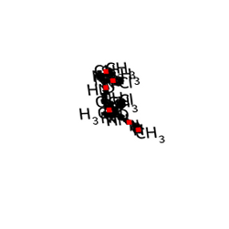 Cc1sc2c(c1C)C(c1ccc(Cl)cc1)=N[C@@H](CC(=O)NCCNC(=O)c1sc3c(c1C)C(c1ccc(Cl)cc1)=N[C@@H](CC(=O)NCCCN1CCN(C)CC1)c1nnc(C)n1-3)c1nnc(C)n1-2